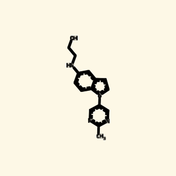 Cc1ncc(-n2ccc3cc(NCCO)ccc32)cn1